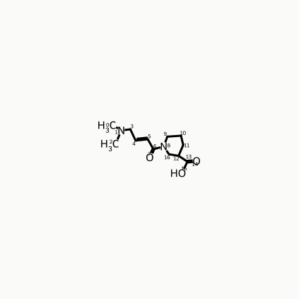 CN(C)CC=CC(=O)N1CCCC(C(=O)O)C1